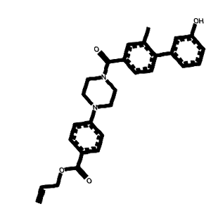 C=CCOC(=O)c1ccc(N2CCN(C(=O)c3ccc(-c4cccc(O)c4)c(C)c3)CC2)cc1